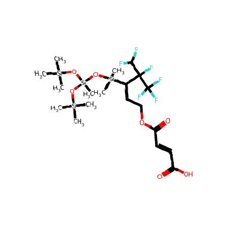 C[Si](C)(C)O[Si](C)(O[Si](C)(C)C)O[Si](C)(C)C(CCOC(=O)C=CC(=O)O)C(F)(C(F)F)C(F)(F)F